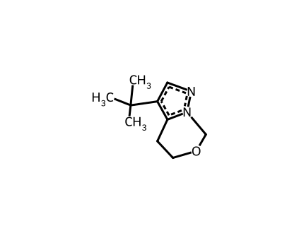 CC(C)(C)c1cnn2c1CCOC2